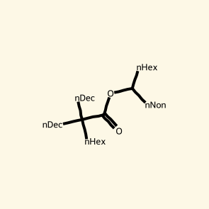 CCCCCCCCCCC(CCCCCC)(CCCCCCCCCC)C(=O)OC(CCCCCC)CCCCCCCCC